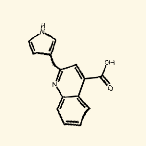 O=C(O)c1cc(-c2cc[nH]c2)nc2ccccc12